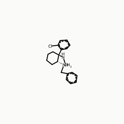 CN[C@]1(c2ccccc2Cl)CCCC[C@H]1NCc1ccccc1